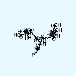 O=C(O)CCC(NC(=O)N[C@@H](CCCCNC(=O)c1cc(NC(=O)Cn2cc(CCCF)nn2)cc(C(=O)NCCCCC(NC(=O)N[C@@H](CCC(=O)O)C(=O)O)C(=O)O)c1)C(=O)O)C(=O)O